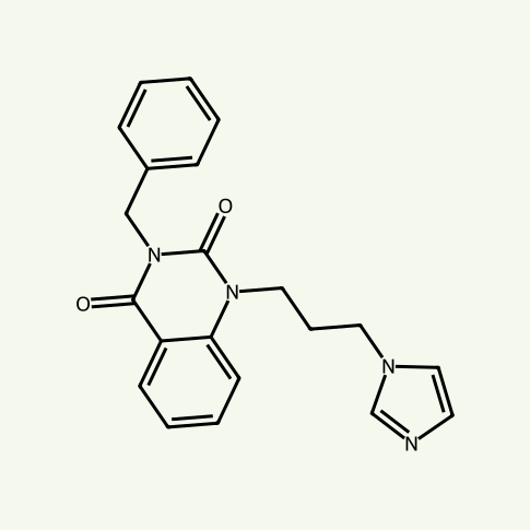 O=c1c2ccccc2n(CCCn2ccnc2)c(=O)n1Cc1ccccc1